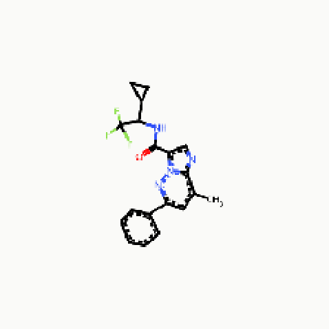 Cc1cc(-c2ccccc2)nn2c(C(=O)NC(C3CC3)C(F)(F)F)cnc12